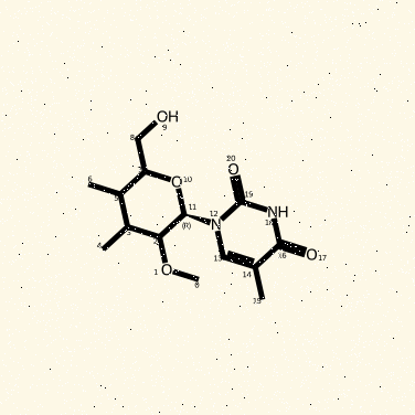 COC1C(C)C(C)C(CO)O[C@H]1n1cc(C)c(=O)[nH]c1=O